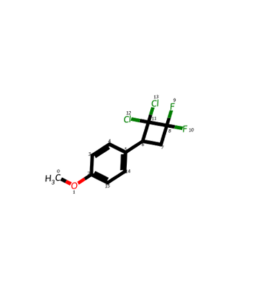 COc1ccc(C2CC(F)(F)C2(Cl)Cl)cc1